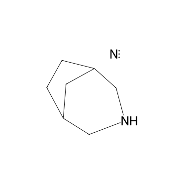 C1CC2CNCC1C2.[N]